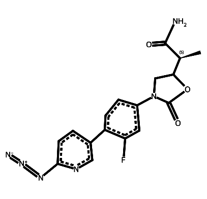 C[C@H](C(N)=O)C1CN(c2ccc(-c3ccc(N=[N+]=[N-])nc3)c(F)c2)C(=O)O1